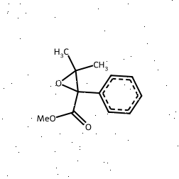 COC(=O)C1(c2ccccc2)OC1(C)C